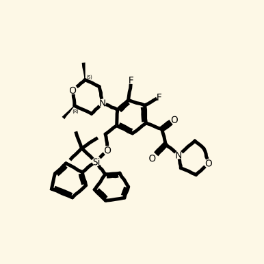 C[C@@H]1CN(c2c(CO[Si](c3ccccc3)(c3ccccc3)C(C)(C)C)cc(C(=O)C(=O)N3CCOCC3)c(F)c2F)C[C@H](C)O1